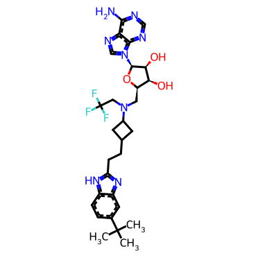 CC(C)(C)c1ccc2[nH]c(CCC3CC(N(C[C@H]4O[C@@H](n5cnc6c(N)ncnc65)[C@@H](O)[C@H]4O)CC(F)(F)F)C3)nc2c1